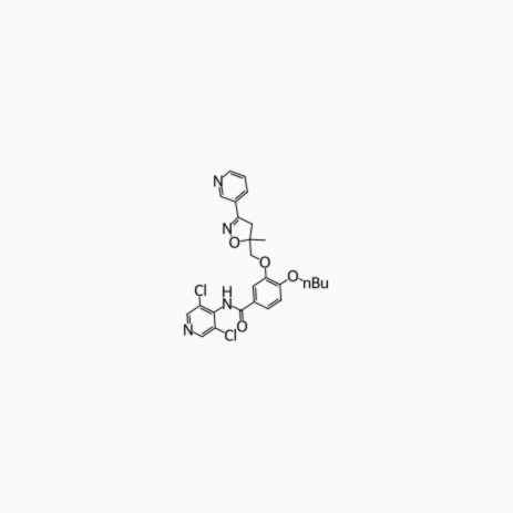 CCCCOc1ccc(C(=O)Nc2c(Cl)cncc2Cl)cc1OCC1(C)CC(c2cccnc2)=NO1